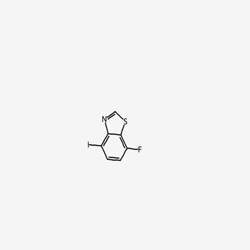 Fc1ccc(I)c2ncsc12